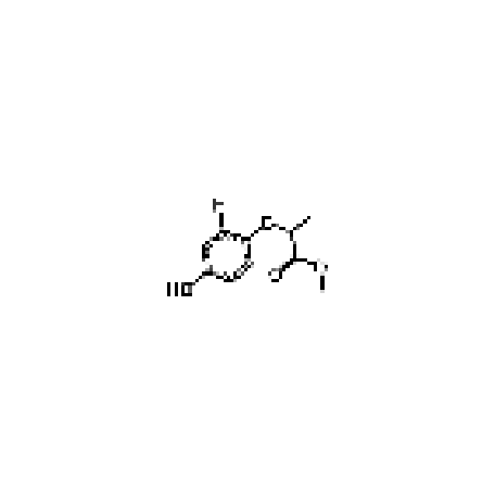 COC(=O)C(C)Oc1ccc(O)cc1F